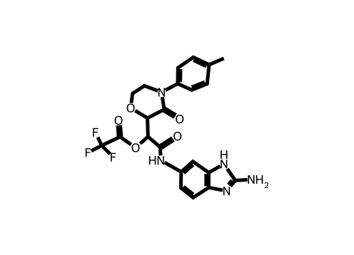 Cc1ccc(N2CCOC(C(OC(=O)C(F)(F)F)C(=O)Nc3ccc4nc(N)[nH]c4c3)C2=O)cc1